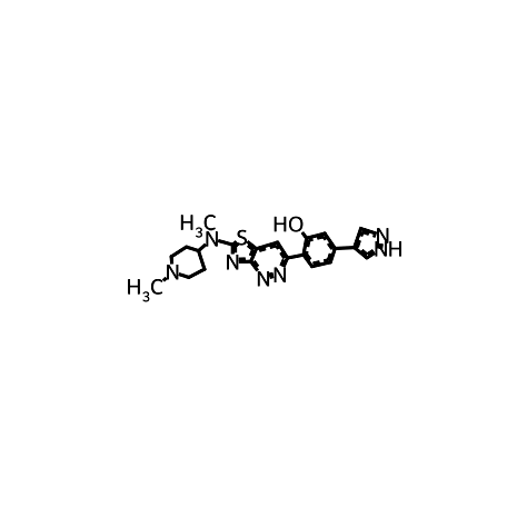 CN1CCC(N(C)c2nc3nnc(-c4ccc(-c5cn[nH]c5)cc4O)cc3s2)CC1